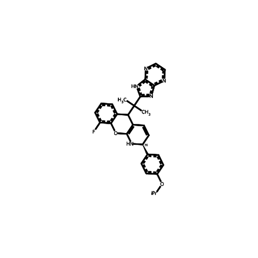 CC(C)Oc1ccc([C@@H]2C=CC3=C(N2)Oc2c(F)cccc2C3C(C)(C)c2nc3nccnc3[nH]2)cc1